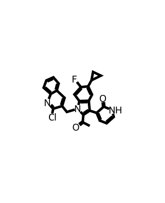 CC(=O)c1c(-c2ccc[nH]c2=O)c2cc(C3CC3)c(F)cc2n1Cc1cc2ccccc2nc1Cl